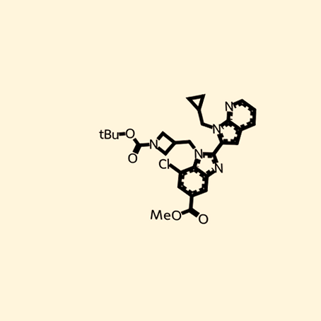 COC(=O)c1cc(Cl)c2c(c1)nc(-c1cc3cccnc3n1CC1CC1)n2CC1CN(C(=O)OC(C)(C)C)C1